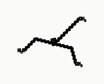 CCCCCCCC/C=C\CCCCCCCC(=O)OC(CCCCCCC/C=C\CCCCCCCC)C(=O)CCCCCCCCCCCCCCCCC